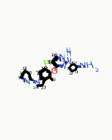 Cc1c(Oc2nc(Nc3cccc(N)c3)ncc2F)ccc2c1ccn2-c1ccccn1